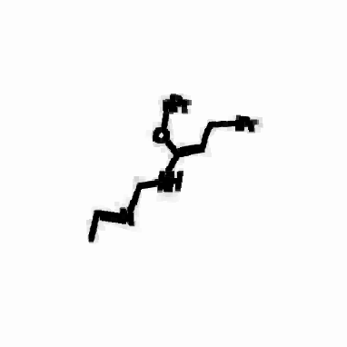 C/C=N/CN/C(=C/CC(C)C)OCCC